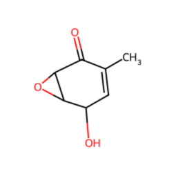 CC1=CC(O)C2OC2C1=O